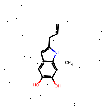 C.C=CCc1cc2cc(O)c(O)cc2[nH]1